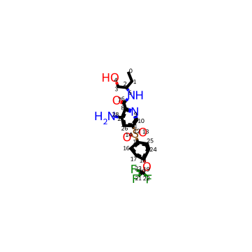 CCC(CO)NC(=O)c1ncc(S(=O)(=O)c2ccc(OC(F)(F)F)cc2)cc1N